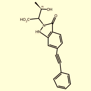 C[C@@H](O)C(C(=O)O)n1[nH]c2cc(C#Cc3ccccc3)ccc2c1=O